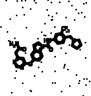 NC(=O)Cc1cc(Oc2ccc3c(ccn3C(=O)Nc3ccc(CN4CCCC4)c(C(F)(F)F)c3)c2)ncn1